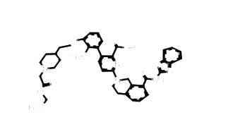 CCOC(=O)CN1CCC(CCOc2cccc(-c3ccc(N4CCc5cccc(C(=O)Nc6nc7ccccc7s6)c5C4)nc3C(=O)O)c2C)CC1